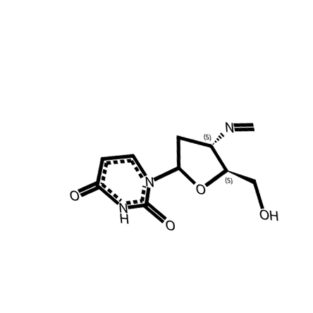 C=N[C@H]1CC(n2ccc(=O)[nH]c2=O)O[C@@H]1CO